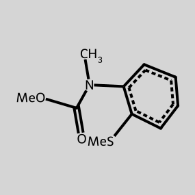 [CH2]OC(=O)N(C)c1ccccc1SC